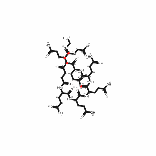 CCOCCNC(=O)CCC(=O)NC(CCC(=O)O)C(=O)NC(CCC(=O)O)C(=O)NC(CCC(=O)O)C(=O)NC(CCC(=O)O)C(=O)NC(CCC(=O)O)C(=O)NC(CCC(=O)O)C(=O)NCC(=O)O